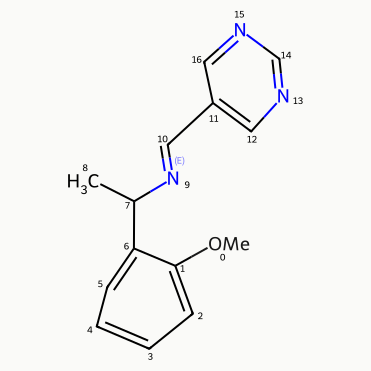 COc1ccccc1C(C)/N=C/c1cncnc1